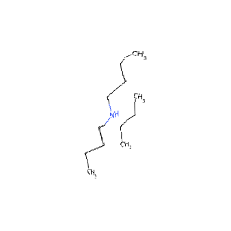 CCCC.CCCCNCCCC